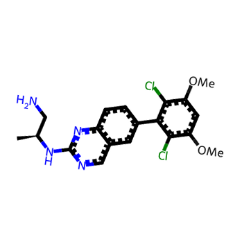 COc1cc(OC)c(Cl)c(-c2ccc3nc(N[C@@H](C)CN)ncc3c2)c1Cl